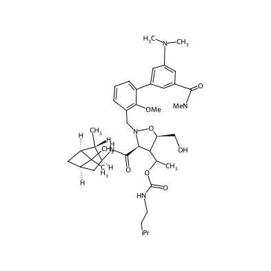 CNC(=O)c1cc(-c2cccc(CN3O[C@@H](CO)C(C(C)OC(=O)NCCC(C)C)[C@H]3C(=O)N[C@H]3C[C@H]4C[C@@H]([C@@H]3C)C4(C)C)c2OC)cc(N(C)C)c1